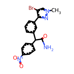 Cn1cc(Br)c(-c2cccc(C(C(N)=O)c3ccc([N+](=O)[O-])cc3)c2)n1